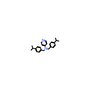 CC(C)c1ccc(CN(Cc2ccc(C(C)C)cc2)c2ccncc2)cc1